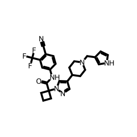 N#Cc1ccc(NC(=O)C2(n3cc(C4CCN(Cc5cc[nH]c5)CC4)cn3)CCC2)cc1C(F)(F)F